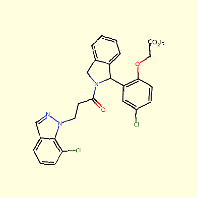 O=C(O)COc1ccc(Cl)cc1C1c2ccccc2CN1C(=O)CCn1ncc2cccc(Cl)c21